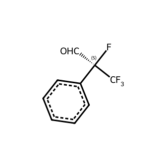 O=C[C@@](F)(c1ccccc1)C(F)(F)F